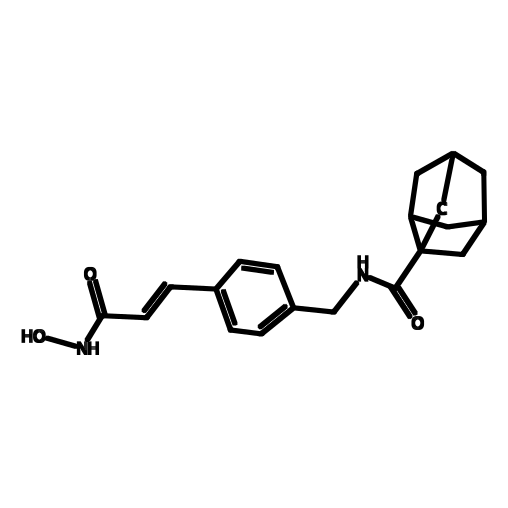 O=C(/C=C/c1ccc(CNC(=O)C23CC4CC(CC2C4)C3)cc1)NO